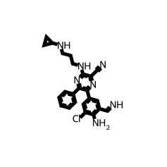 N#Cc1nc(-c2cc(Cl)c(N)c(C=N)c2)c(-c2ccccc2)nc1NCCCNC1CC1